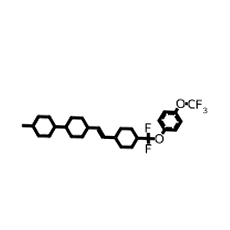 CC1CCC(C2CCC(/C=C/C3CCC(C(F)(F)Oc4ccc(OC(F)(F)F)cc4)CC3)CC2)CC1